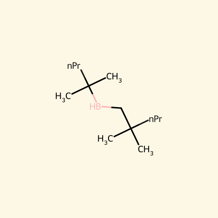 CCCC(C)(C)BCC(C)(C)CCC